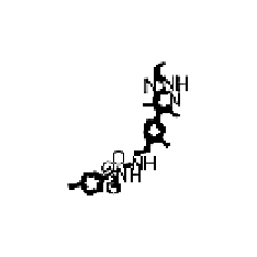 CCc1nc2c(C)c(-c3ccc(CCNC(=O)NS(=O)(=O)c4ccc(C)cc4)c(C)c3)c(C)nc2[nH]1